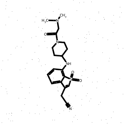 CN(C)CC(=O)N1CCC(Nc2cccc3c2S(=O)(=O)C=C3CC#N)CC1